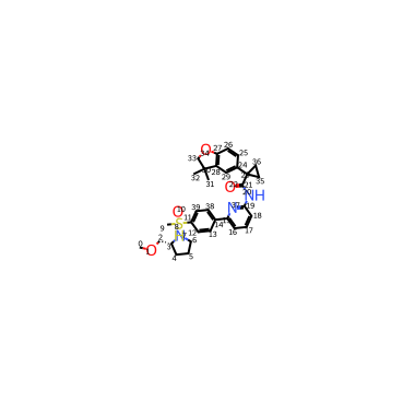 COC[C@H]1CCCN1[SH](C)(=O)c1ccc(-c2cccc(NC(=O)C3(c4ccc5c(c4)C(C)(C)CO5)CC3)n2)cc1